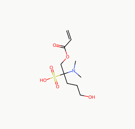 C=CC(=O)OCC(CCCO)(N(C)C)S(=O)(=O)O